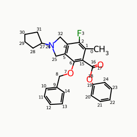 Cc1c(F)c2c(c(OCc3ccccc3)c1C(=O)Oc1ccccc1)CN(C1CCCC1)C2